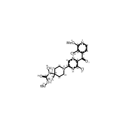 COc1nccc(C(=O)c2ncc(N3CCC(C)(N(C)C(=O)OC(C)(C)C)CC3)nc2Cl)c1Cl